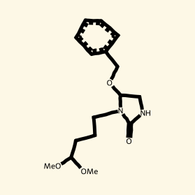 COC(CCCN1C(=O)NCC1OCc1ccccc1)OC